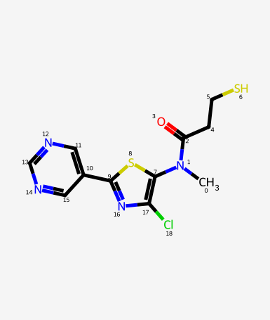 CN(C(=O)CCS)c1sc(-c2cncnc2)nc1Cl